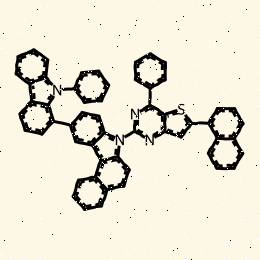 c1ccc(-c2nc(-n3c4ccc(-c5cccc6c7ccccc7n(-c7ccccc7)c56)cc4c4c5ccccc5ccc43)nc3cc(-c4cccc5ccccc45)sc23)cc1